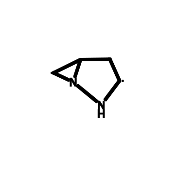 [CH]1CC2CN2N1